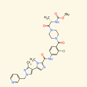 C[C@H](NC(=O)OC(C)(C)C)C(=O)N1CCN(C(=O)c2ccc(NC(=O)c3ncc(-c4cn(Cc5cccnc5)nc4C(F)(F)F)n3C)cc2Cl)CC1